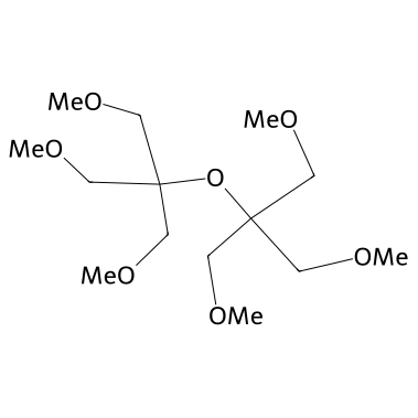 COCC(COC)(COC)OC(COC)(COC)COC